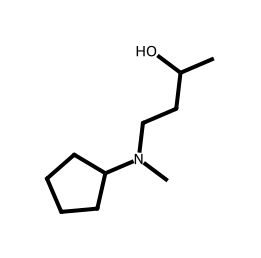 CC(O)CCN(C)C1CCCC1